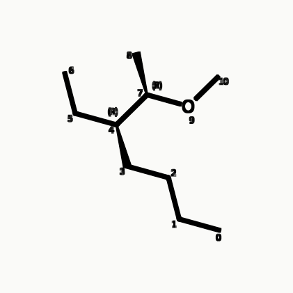 CCCC[C@@H](CC)[C@@H](C)OC